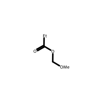 CCC(=O)OCOC